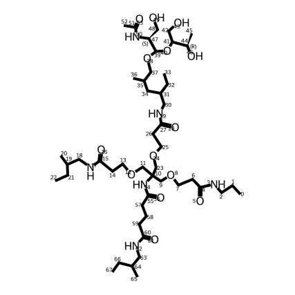 CCCNC(=O)CCOCC(COCCC(=O)NCC(C)CC)(COCCC(=O)NCC(CC)CC(C)COC(OC(CO)[C@@H](C)O)[C@H](CO)NC(C)=O)NC(=O)CCCC(=O)NCC(C)CC